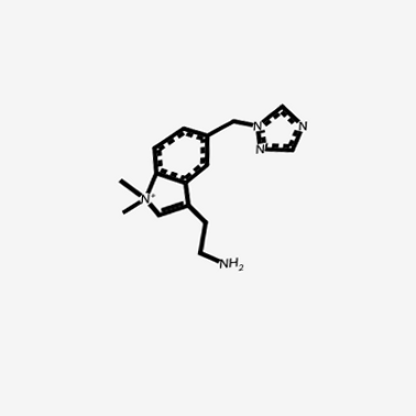 C[N+]1(C)C=C(CCN)c2cc(Cn3cncn3)ccc21